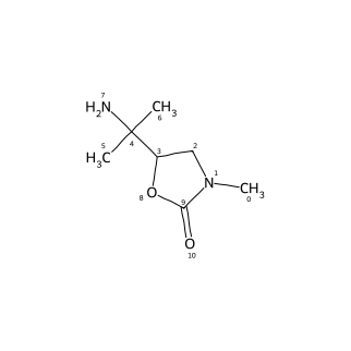 CN1CC(C(C)(C)N)OC1=O